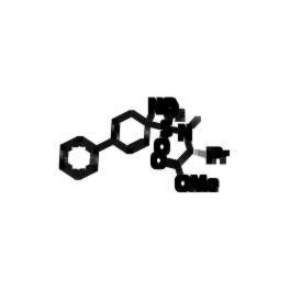 COC(=O)[C@@H](C(C)C)N(C)S(=O)(=O)C1([N+](=O)[O-])C=CC(c2ccccc2)=CC1